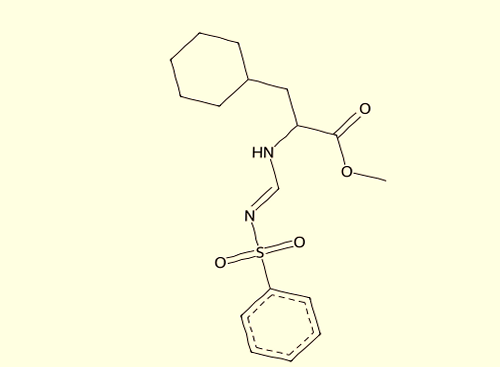 COC(=O)C(CC1CCCCC1)N/C=N/S(=O)(=O)c1ccccc1